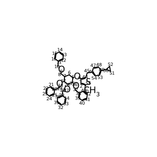 Cc1cc(OC2CC(COCc3ccccc3)C(OCc3ccccc3)C(OCc3ccccc3)C2OCc2ccccc2)c(Cc2ccc(C3CC3)cc2)s1